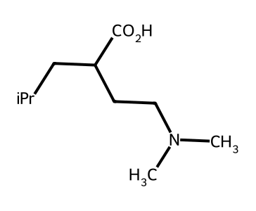 CC(C)CC(CCN(C)C)C(=O)O